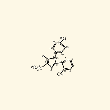 Cc1c(C(=O)O)nc(-c2ccccc2Cl)n1-c1ccc(Cl)cc1